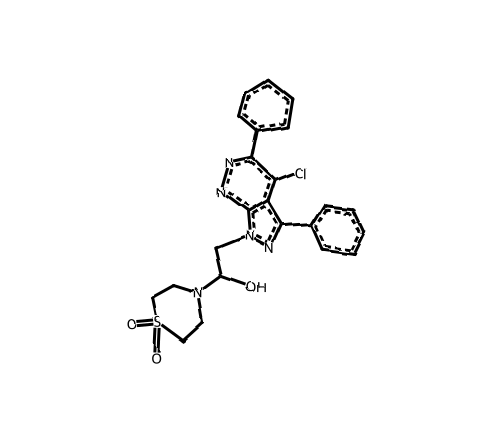 O=S1(=O)CCN(C(O)Cn2nc(-c3ccccc3)c3c(Cl)c(-c4ccccc4)nnc32)CC1